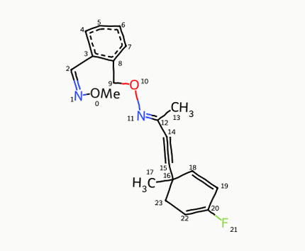 CO/N=C\c1ccccc1CO/N=C(\C)C#CC1(C)C=CC(F)=CC1